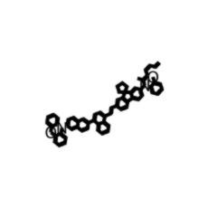 C=C/C=C\C1=C(C)N(c2ccc3c(c2)C2(CCCC2)c2cc(/C=C/c4ccc(-c5ccc6cc(N7c8ccccc8Oc8ccccc87)ccc6c5)c5ccccc45)ccc2-3)c2ccccc2O1